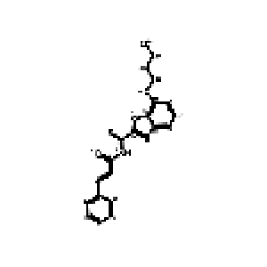 CC(NC(=O)C=Cc1ccccc1)c1cc2cccc(OCCCCl)c2o1